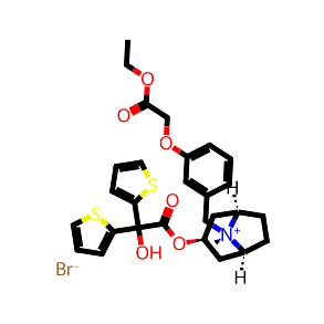 CCOC(=O)COc1cccc(C[N@+]2(C)[C@@H]3CC[C@H]2C[C@@H](OC(=O)C(O)(c2cccs2)c2cccs2)C3)c1.[Br-]